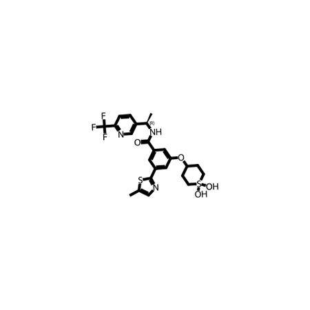 Cc1cnc(-c2cc(OC3CCS(O)(O)CC3)cc(C(=O)N[C@H](C)c3ccc(C(F)(F)F)nc3)c2)s1